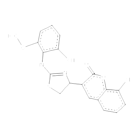 COc1cccc(C)c1NC1=NC(c2cc3cccc(Cl)c3oc2=O)CS1